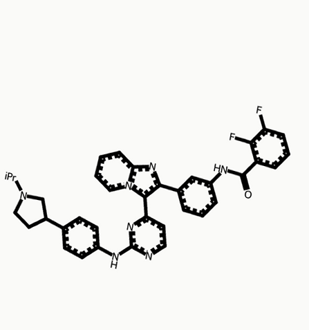 CC(C)N1CCC(c2ccc(Nc3nccc(-c4c(-c5cccc(NC(=O)c6cccc(F)c6F)c5)nc5ccccn45)n3)cc2)C1